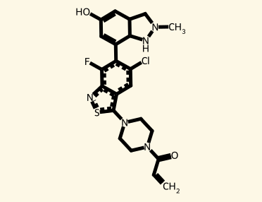 C=CC(=O)N1CCN(c2snc3c(F)c(C4=CC(O)=CC5CN(C)NC45)c(Cl)cc23)CC1